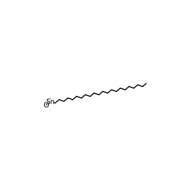 CCCCCCCCCCCCCCCCCCCCC[CH2][Sn]=[O]